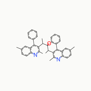 Cc1ccc2nc(C)c(C(C)C(=O)C(C)c3c(C)nc4ccc(C)cc4c3-c3ccccc3)c(-c3ccccc3)c2c1